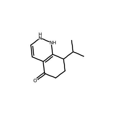 CC(C)C1CCC(=O)C2=C1NNC=C2